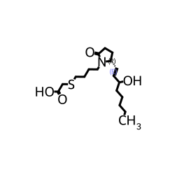 CCCCCC(O)/C=C/[C@H]1CCC(=O)N1CCCCSCC(=O)O